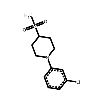 CS(=O)(=O)C1CCN(c2cccc(Cl)c2)CC1